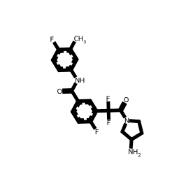 Cc1cc(NC(=O)c2ccc(F)c(C(F)(F)C(=O)N3CCC(N)C3)c2)ccc1F